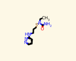 CCN(SCCCNc1cccnn1)C(N)=O